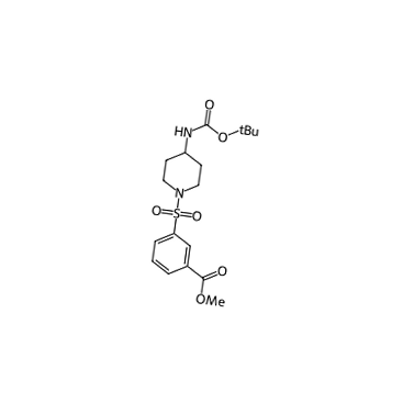 COC(=O)c1cccc(S(=O)(=O)N2CCC(NC(=O)OC(C)(C)C)CC2)c1